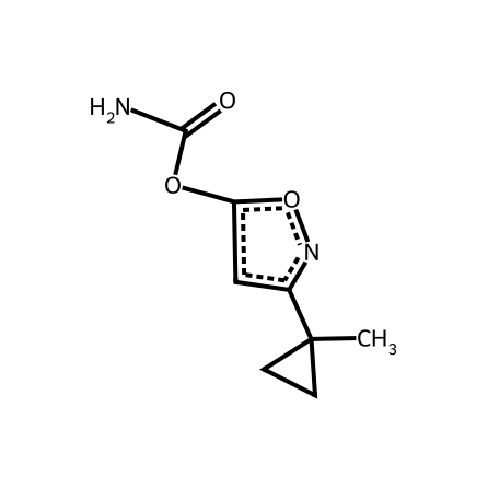 CC1(c2cc(OC(N)=O)on2)CC1